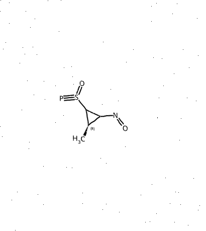 C[C@@H]1C(N=O)C1S(=O)#P